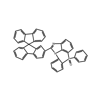 O=P1(c2ccccc2)c2ccccc2-n2c(-c3ccc4c(c3)C3(c5ccccc5-c5ccccc53)c3ccccc3-4)nc3cccc1c32